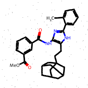 COC(=O)c1cccc(C(=O)Nc2nc(-c3ccccc3C)[nH]c2CCC23CC4CC(CC(C4)C2)C3)c1